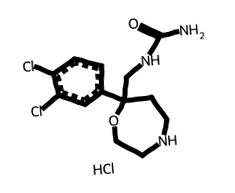 Cl.NC(=O)NCC1(c2ccc(Cl)c(Cl)c2)CCNCCO1